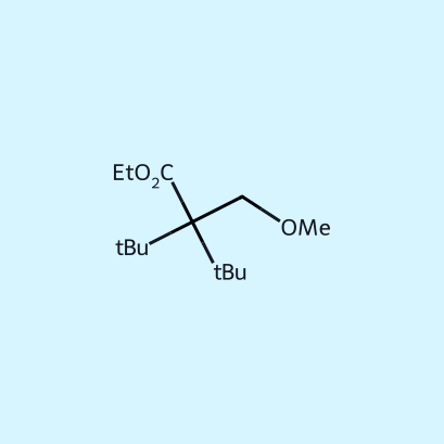 CCOC(=O)C(COC)(C(C)(C)C)C(C)(C)C